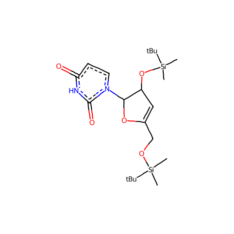 CC(C)(C)[Si](C)(C)OCC1=CC(O[Si](C)(C)C(C)(C)C)C(n2ccc(=O)[nH]c2=O)O1